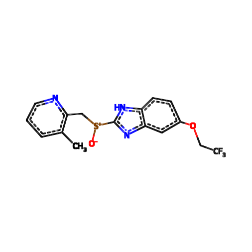 Cc1cccnc1C[S+]([O-])c1nc2cc(OCC(F)(F)F)ccc2[nH]1